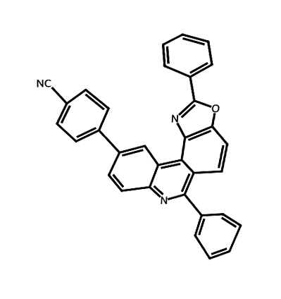 N#Cc1ccc(-c2ccc3nc(-c4ccccc4)c4ccc5oc(-c6ccccc6)nc5c4c3c2)cc1